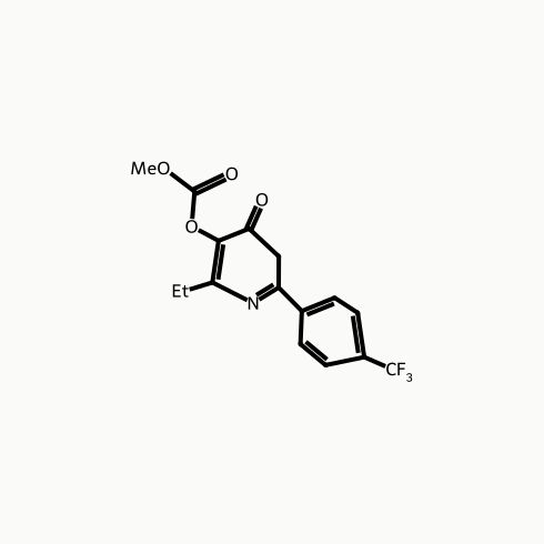 CCC1=C(OC(=O)OC)C(=O)CC(c2ccc(C(F)(F)F)cc2)=N1